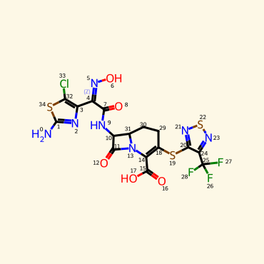 Nc1nc(/C(=N/O)C(=O)NC2C(=O)N3C(C(=O)O)=C(Sc4nsnc4C(F)(F)F)CCC23)c(Cl)s1